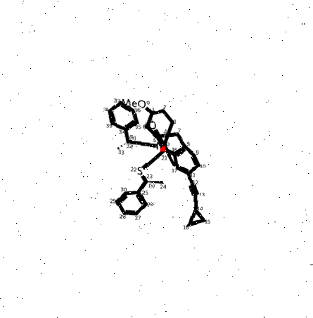 COC1CCC2(CC1)Cc1ccc(C#CC3CC3)cc1C21N=C(S[C@@H](C)c2ccccc2)N([C@H](C)c2ccccc2)C1=O